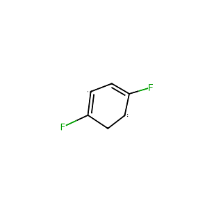 FC1=[C]C=C(F)[C]C1